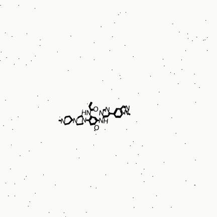 C=CC(=O)Nc1cc(Nc2cc(-c3ccc4c(cnn4C)c3)ncn2)c(OC)cc1N1CCN(C2CCN(C)CC2)CC1